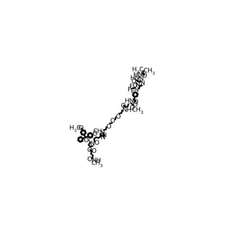 CNC(=O)CCC(=O)O[C@@H]1C[C@@H](COC(c2ccccc2)(c2ccc(OC)cc2)c2ccc(OC)cc2)N(C(=O)CCCc2cn(CCCOCCOCCOCCCNC(=O)CC[C@H](NC(=O)c3ccc(N(Cc4cnc5nc(NC(=O)C(C)C)[nH]c(=O)c5n4)C(=O)C(F)(F)F)cc3)C(=O)OC)nn2)C1